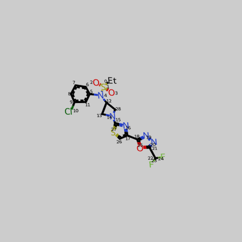 CCS(=O)(=O)N(c1cccc(Cl)c1)C1CN(c2nc(-c3nnc(C(F)F)o3)cs2)C1